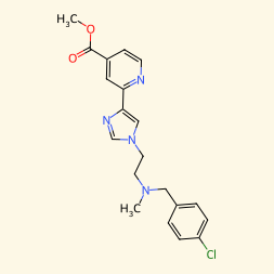 COC(=O)c1ccnc(-c2cn(CCN(C)Cc3ccc(Cl)cc3)cn2)c1